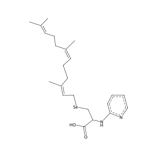 CC(C)=CCCC(C)=CCCC(C)=CC[Se]CC(Nc1ccccn1)C(=O)O